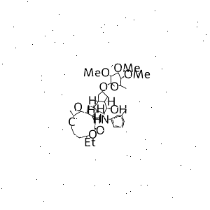 CC[C@H]1CCCC[C@@H](C)C(=O)C2=C[C@H]3[C@@H]4C[C@H](O[C@@H]5OC(C)[C@H](OC)C(OC)C5OC)C[C@H]4[C@@H](O)[C@H](Nc4cccc(C)c4)[C@H]3[C@@H]2CC(=O)O1